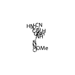 COc1ccccc1N1CCN(CCCNC(=O)Nc2cccc(C3C(C#N)=C(C)NC(C)=C3C(=O)O)c2)CC1